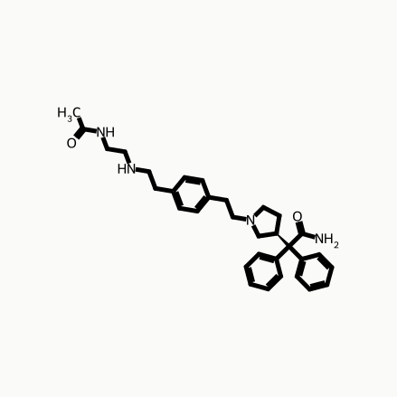 CC(=O)NCCNCCc1ccc(CCN2CC[C@@H](C(C(N)=O)(c3ccccc3)c3ccccc3)C2)cc1